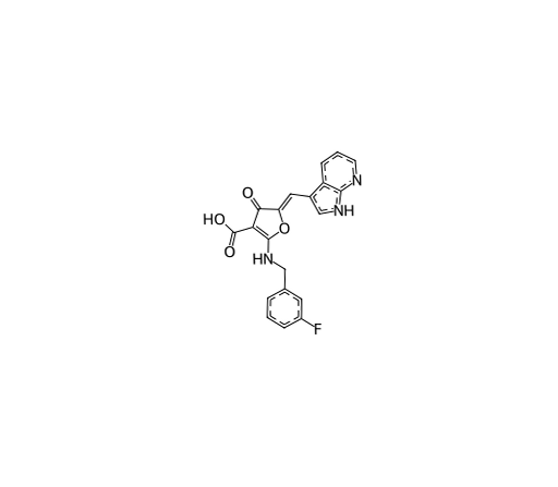 O=C(O)C1=C(NCc2cccc(F)c2)O/C(=C\c2c[nH]c3ncccc23)C1=O